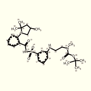 CC1CN(c2ncccc2C(=O)NS(=O)(=O)c2cccc(NCCN(C)C(=O)OC(C)(C)C)n2)C(C)(C)C1